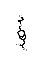 C=CC(=O)OCC1CC2CC(CC(C)C)CC(C1)C2